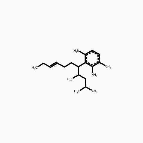 CC/C=C/CCC(c1c(N)ccc(C)c1N)C(C)CC(C)C